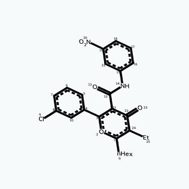 CCCCCCc1oc(-c2cccc(Cl)c2)c(C(=O)Nc2cccc([N+](=O)[O-])c2)c(=O)c1CC